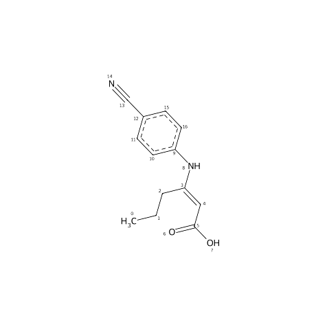 CCC/C(=C\C(=O)O)Nc1ccc(C#N)cc1